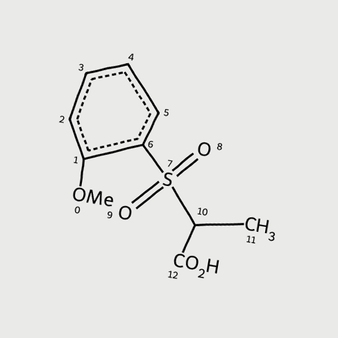 COc1ccccc1S(=O)(=O)C(C)C(=O)O